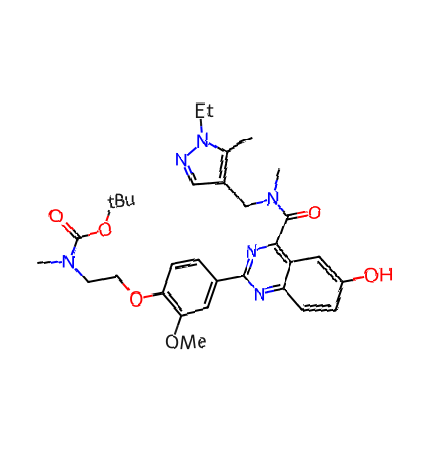 CCn1ncc(CN(C)C(=O)c2nc(-c3ccc(OCCN(C)C(=O)OC(C)(C)C)c(OC)c3)nc3ccc(O)cc23)c1C